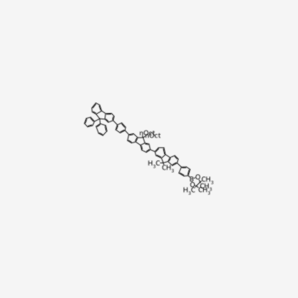 CCCCCCCCC1(CCCCCCCC)c2cc(-c3ccc(-c4ccc5c(c4)C(c4ccccc4)(c4ccccc4)c4ccccc4-5)cc3)ccc2-c2ccc(-c3ccc4c(c3)C(C)(C)c3cc(-c5ccc(B6OC(C)(C)C(C)(C)O6)cc5)ccc3-4)cc21